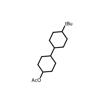 CC(=O)OC1CCC(C2CCC(C(C)(C)C)CC2)CC1